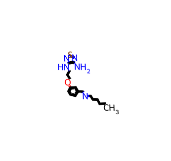 CCCCCCN=Cc1cccc(OCCCNc2nsnc2N)c1